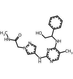 CNC(=O)Cn1cc(Nc2ncc(C)c(NC(CO)c3ccccc3)n2)cn1